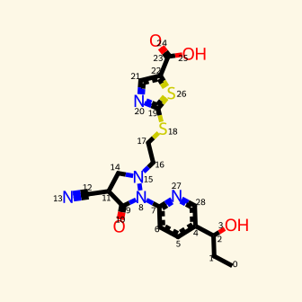 CCC(O)c1ccc(N2C(=O)C(C#N)CN2CCSc2ncc(C(=O)O)s2)nc1